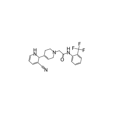 N#CC1=CC=CNC1C1=CCN(CC(=O)Nc2ccccc2C(F)(F)F)CC1